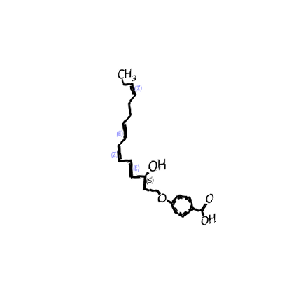 CC/C=C\CC/C=C/C=C\C=C\[C@@H](O)CCOc1ccc(C(=O)O)cc1